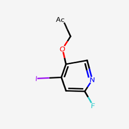 CC(=O)COc1cnc(F)cc1I